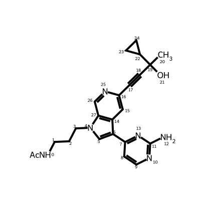 CC(=O)NCCCn1cc(-c2ccnc(N)n2)c2cc(C#CC(C)(O)C3CC3)ncc21